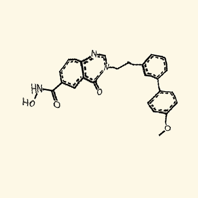 COc1ccc(-c2cccc(CCn3cnc4ccc(C(=O)NO)cc4c3=O)c2)cc1